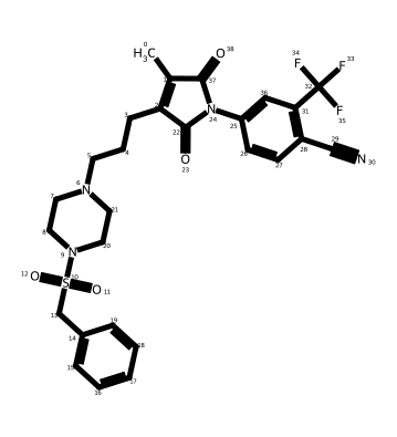 CC1=C(CCCN2CCN(S(=O)(=O)Cc3ccccc3)CC2)C(=O)N(c2ccc(C#N)c(C(F)(F)F)c2)C1=O